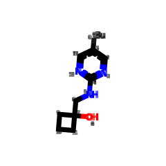 CC(C)(C)c1cnc(NCC2(O)CCC2)nc1